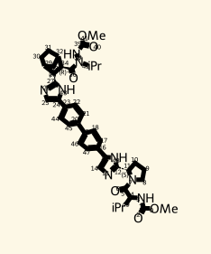 COC(=O)NC(C(=O)N1CCC[C@H]1c1ncc(-c2ccc(-c3ccc(-c4cnc([C@@H]5C6CCC(C6)[C@H]5C(=O)N(NC(=O)OC)C(C)C)[nH]4)cc3)cc2)[nH]1)C(C)C